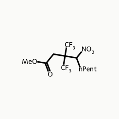 CCCCCC([N+](=O)[O-])C(CC(=O)OC)(C(F)(F)F)C(F)(F)F